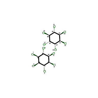 Cl[C@H]1[C@H](Cl)[C@@H](Cl)[C@@H](Cl)[C@H](Cl)[C@H]1Cl.Cl[C@H]1[C@H](Cl)[C@H](Cl)[C@@H](Cl)[C@H](Cl)[C@H]1Cl